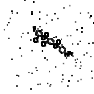 CCCC1CCC(C(=O)Oc2ccc(C(=O)Oc3ccc(F)cc3Cl)c(Cl)c2)CC1